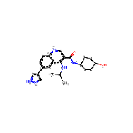 CC(C)Nc1c(C(=O)NC2CCC(O)CC2)cnc2ccc(-c3cn[nH]c3)cc12